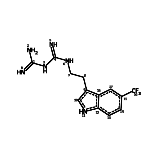 N=C(N)NC(=N)NCCc1c[nH]c2ccc(C(F)(F)F)cc12